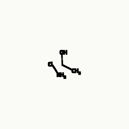 CCO.NCl